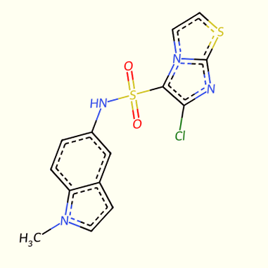 Cn1ccc2cc(NS(=O)(=O)c3c(Cl)nc4sccn34)ccc21